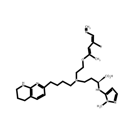 C=N/C=C(F)\C=C(/C)OCCN(CCCCc1ccc2c(n1)NCCC2)CC[C@H](Nc1ccnn1C)C(=O)O